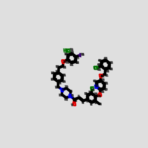 Cc1cc(C=CC(=O)N2CCN(Cc3ccc(CCOc4ccc(I)cc4)cc3)CC2)cc(Cl)c1Oc1ccc(OCc2ccccc2Cl)cn1.Cl